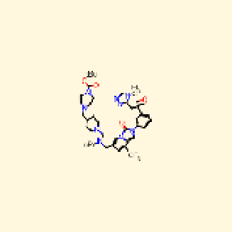 CCCN(Cc1cc(C(F)(F)F)c2cn(-c3cccc(C4(Cc5nncn5C)COC4)c3)c(=O)n2c1)CN1CCC(CN2CCN(C(=O)OC(C)(C)C)CC2)CC1